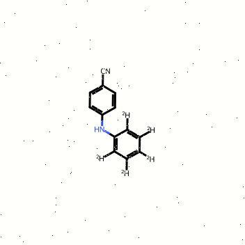 [2H]c1c([2H])c([2H])c(Nc2ccc(C#N)cc2)c([2H])c1[2H]